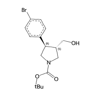 CC(C)(C)OC(=O)N1C[C@@H](CO)[C@H](c2ccc(Br)cc2)C1